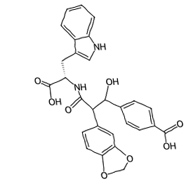 O=C(O)c1ccc(C(O)C(C(=O)N[C@@H](Cc2c[nH]c3ccccc23)C(=O)O)c2ccc3c(c2)OCO3)cc1